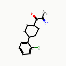 CC(=N)C(=O)C1CCC(c2ccccc2Cl)CC1